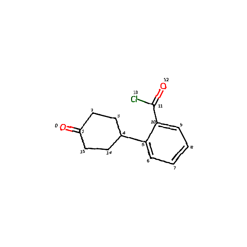 O=C1CCC(c2ccccc2C(=O)Cl)CC1